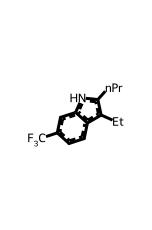 CCCc1[nH]c2cc(C(F)(F)F)ccc2c1CC